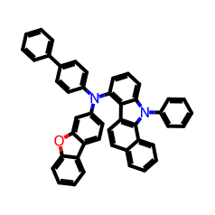 c1ccc(-c2ccc(N(c3ccc4c(c3)oc3ccccc34)c3cccc4c3c3ccc5ccccc5c3n4-c3ccccc3)cc2)cc1